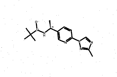 Cc1ncn(-c2ccc([C@H](C)N[S+]([O-])C(C)(C)C)cn2)n1